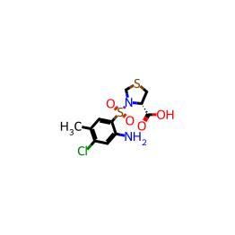 Cc1cc(S(=O)(=O)N2CSC[C@@H]2C(=O)O)c(N)cc1Cl